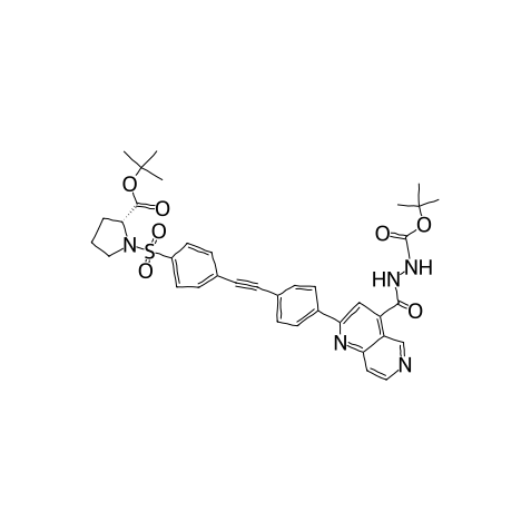 CC(C)(C)OC(=O)NNC(=O)c1cc(-c2ccc(C#Cc3ccc(S(=O)(=O)N4CCC[C@@H]4C(=O)OC(C)(C)C)cc3)cc2)nc2ccncc12